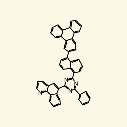 c1ccc(-c2nc(-c3cccc4c(-c5ccc6c7ccccc7c7ccccc7c6c5)cccc34)nc(-c3cc4cccnc4c4ccccc34)n2)cc1